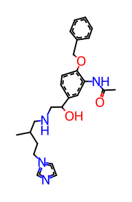 CC(=O)Nc1cc(C(O)CNCC(C)CCn2ccnc2)ccc1OCc1ccccc1